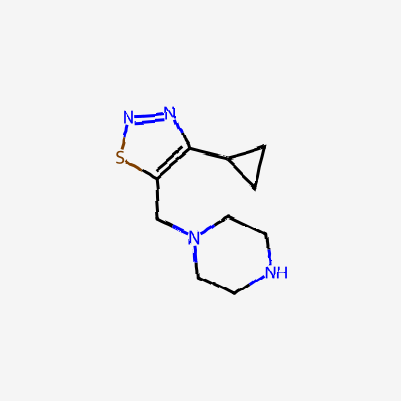 C1CN(Cc2snnc2C2CC2)CCN1